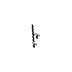 C=CC(=O)O.C=CC(=O)OCCCCCCCCCCCC